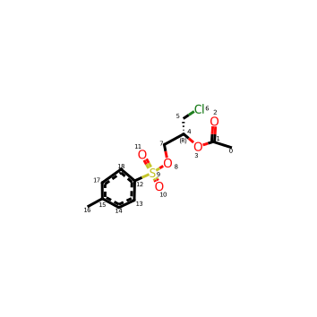 CC(=O)O[C@@H](CCl)COS(=O)(=O)c1ccc(C)cc1